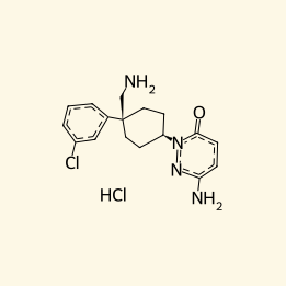 Cl.NC[C@]1(c2cccc(Cl)c2)CC[C@H](n2nc(N)ccc2=O)CC1